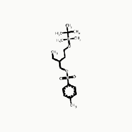 CCC(CCO[Si](C)(C)C(C)(C)C)COS(=O)(=O)c1ccc(C)cc1